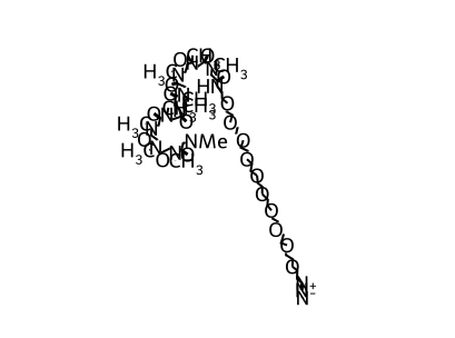 CNCC(=O)N(C)CC(=O)N(C)CC(=O)N(C)CC(=O)N(C)CC(=O)N(C)CC(=O)N(C)CC(=O)N(C)CC(=O)N(C)CC(=O)N(C)CC(=O)NCCOCCOCCOCCOCCOCCOCCOCCOCCOCCOCCN=[N+]=[N-]